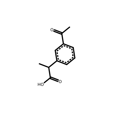 CC(=O)c1cccc(C(C)C(=O)O)c1